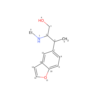 CCNC(CO)C(C)c1ccc2occc2c1